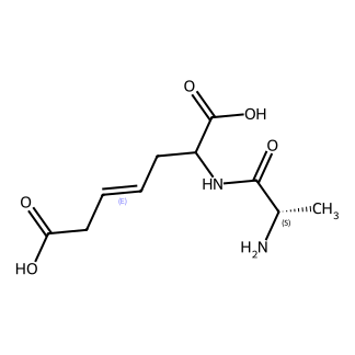 C[C@H](N)C(=O)NC(C/C=C/CC(=O)O)C(=O)O